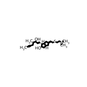 CC#CC[C@@H](C)[C@H](O)/C=C/[C@@H]1[C@H]2C/C(=C/CSCCN(C)C)C[C@H]2C[C@H]1O